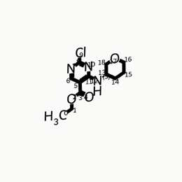 CCOC(=O)c1cnc(Cl)nc1N[C@H]1CCCOC1